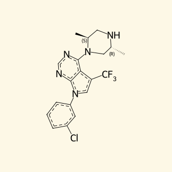 C[C@@H]1CN(c2ncnc3c2c(C(F)(F)F)cn3-c2cccc(Cl)c2)[C@@H](C)CN1